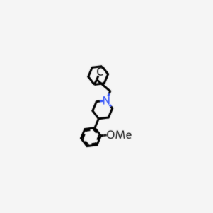 COc1ccccc1C1CCN(CC2CC3CCC2CC3)CC1